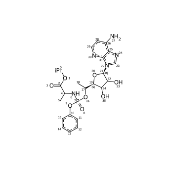 CC(C)OC(=O)C(C)NP(=O)(Oc1ccccc1)OC(C)[C@H]1O[C@@H](n2cnc3c(N)ccnc32)C(O)C1O